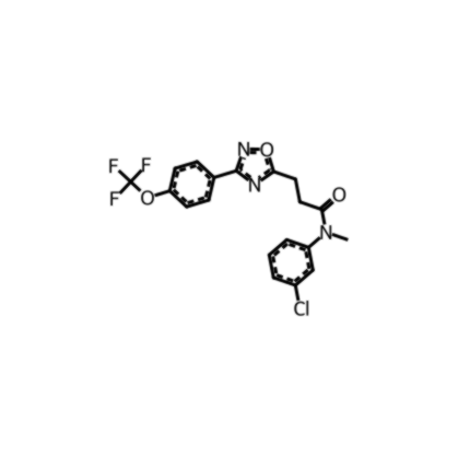 CN(C(=O)CCc1nc(-c2ccc(OC(F)(F)F)cc2)no1)c1cccc(Cl)c1